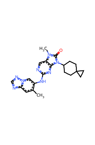 Cc1cc2ncnn2cc1Nc1ncc2c(n1)n(C1CCC3(CC1)CC3)c(=O)n2C